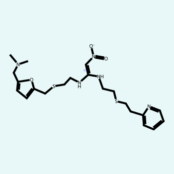 CN(C)Cc1ccc(CSCCN/C(=C/[N+](=O)[O-])NCCSCCc2ccccn2)o1